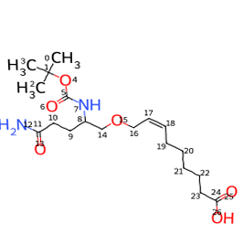 CC(C)(C)OC(=O)NC(CCC(N)=O)COC/C=C\CCCCCC(=O)O